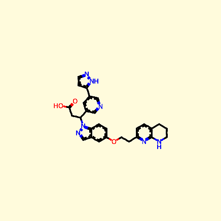 O=C(O)CC(c1cncc(-c2ccn[nH]2)c1)n1ncc2cc(OCCc3ccc4c(n3)NCCC4)ccc21